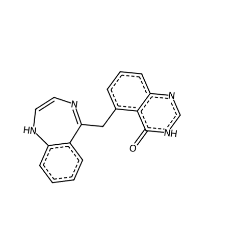 O=c1[nH]cnc2cccc(CC3=NC=CNc4ccccc43)c12